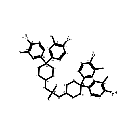 Cc1cc(C2(c3ccc(O)c(C)c3)CCC(CC(C)(C)CC3CCC(c4ccc(O)c(C)c4)(c4ccc(O)c(C)c4)CC3)CC2)ccc1O